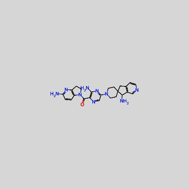 Nc1ccc2c(n1)CCN2C(=O)c1ncc(N2CCC3(CC2)Cc2ccncc2C3N)nc1N